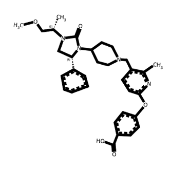 COC[C@H](C)N1C[C@@H](c2ccccc2)N(C2CCN(Cc3ccc(Oc4ccc(C(=O)O)cc4)nc3C)CC2)C1=O